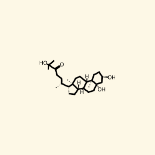 C[C@H](CCC(=O)C(C)(C)O)[C@H]1CC[C@H]2[C@@H]3CC[C@]4(O)C[C@H](O)CC[C@]4(C)[C@H]3CC[C@]12C